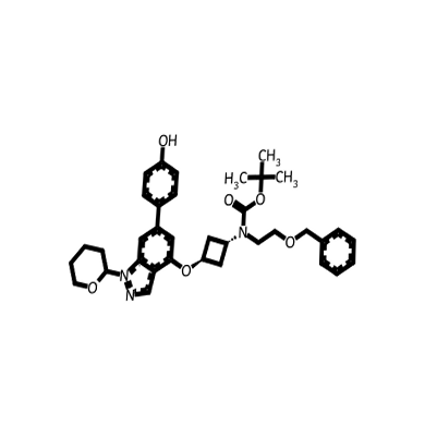 CC(C)(C)OC(=O)N(CCOCc1ccccc1)[C@H]1C[C@H](Oc2cc(-c3ccc(O)cc3)cc3c2cnn3C2CCCCO2)C1